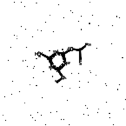 COc1nc(N)nc(OC(F)F)n1